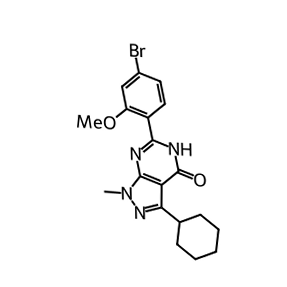 COc1cc(Br)ccc1-c1nc2c(c(C3CCCCC3)nn2C)c(=O)[nH]1